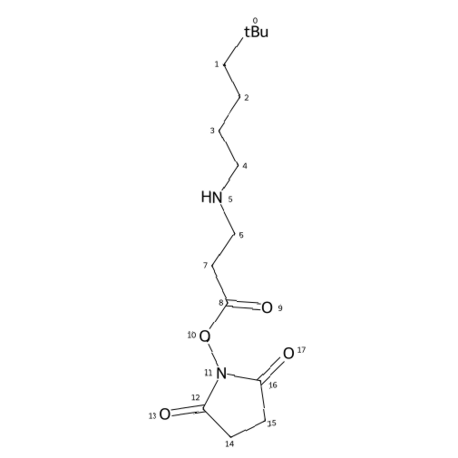 CC(C)(C)CCCCNCCC(=O)ON1C(=O)CCC1=O